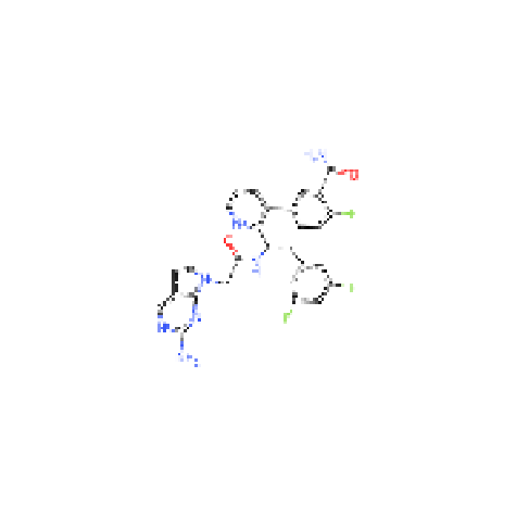 NC(=O)c1cc(-c2cccnc2[C@H](Cc2cc(F)cc(F)c2)NC(=O)Cn2ccc3cnc(N)nc32)ccc1F